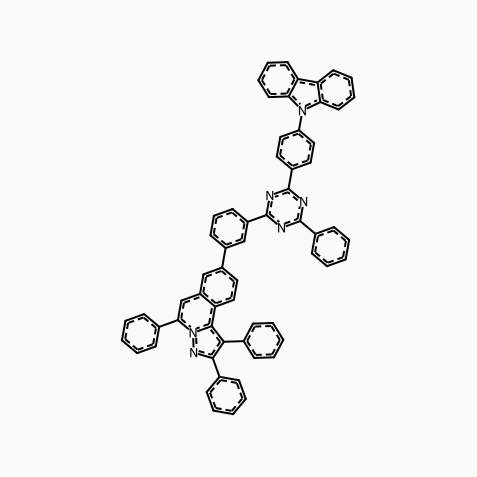 c1ccc(-c2nc(-c3ccc(-n4c5ccccc5c5ccccc54)cc3)nc(-c3cccc(-c4ccc5c(c4)cc(-c4ccccc4)n4nc(-c6ccccc6)c(-c6ccccc6)c54)c3)n2)cc1